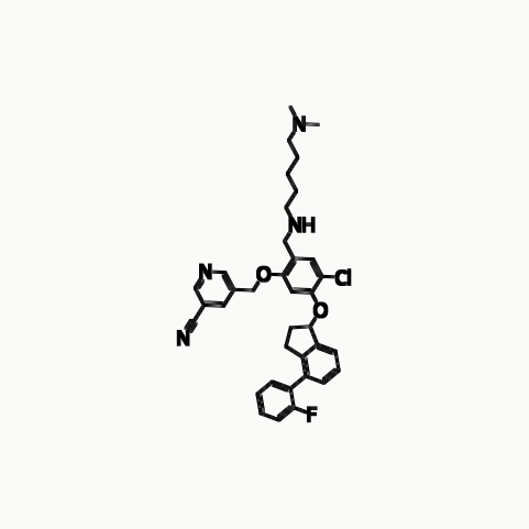 CN(C)CCCCCNCc1cc(Cl)c(OC2CCc3c(-c4ccccc4F)cccc32)cc1OCc1cncc(C#N)c1